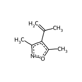 C=C(C)c1c(C)noc1C